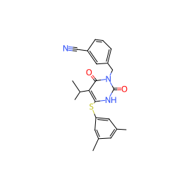 Cc1cc(C)cc(Sc2[nH]c(=O)n(Cc3cccc(C#N)c3)c(=O)c2C(C)C)c1